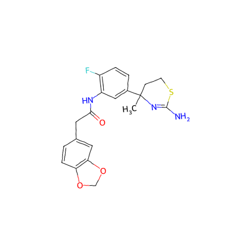 CC1(c2ccc(F)c(NC(=O)Cc3ccc4c(c3)OCO4)c2)CCSC(N)=N1